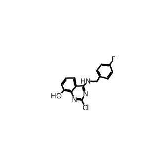 Oc1cccc2c(NCc3ccc(F)cc3)nc(Cl)nc12